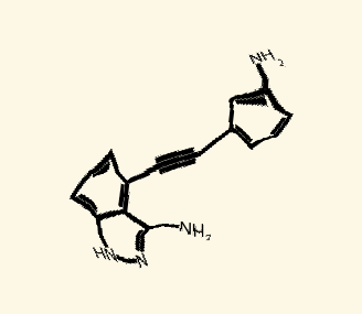 Nc1cccc(C#Cc2cccc3[nH]nc(N)c23)c1